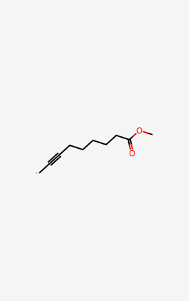 [CH2]C#CCCCCCC(=O)OC